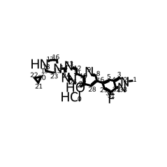 Cl.Cn1cc2cc(-c3cnc(-c4cnc(N5CCN[C@@H](C6CC6)C5)nn4)c(O)c3)cc(F)c2n1